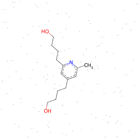 Cc1cc(CCCCO)cc(CCCCO)n1